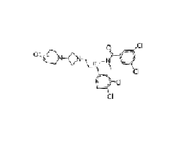 CN(C[C@@H](CCN1CC(N2CC[S+]([O-])CC2)C1)c1ccc(Cl)c(Cl)c1)C(=O)c1cc(Cl)cc(Cl)c1